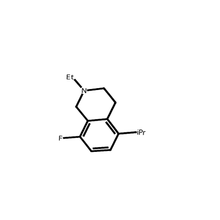 CCN1CCc2c(C(C)C)ccc(F)c2C1